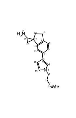 CSCCn1cc(-c2ccc3c(c2)C2(CC3)CC2N)cn1